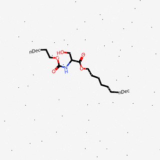 CCCCCCCCCCCCCCCCOC(=O)C(CO)NC(=O)OCCCCCCCCCCCC